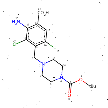 CC(C)(C)OC(=O)N1CCN(Cc2c(F)cc(C(=O)O)c(N)c2Cl)CC1